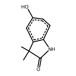 CC1(C)C(=O)Nc2ccc(O)cc21